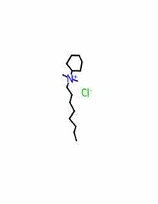 CCCCCCCC[N+](C)(C)C1CCCCC1.[Cl-]